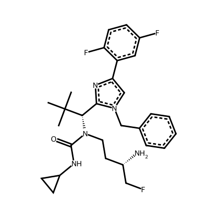 CC(C)(C)[C@H](c1nc(-c2cc(F)ccc2F)cn1Cc1ccccc1)N(CC[C@H](N)CF)C(=O)NC1CC1